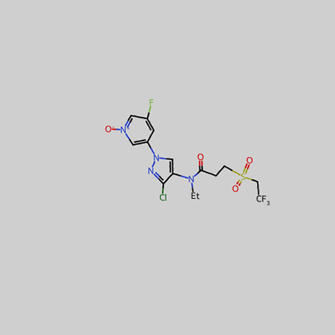 CCN(C(=O)CCS(=O)(=O)CC(F)(F)F)c1cn(-c2cc(F)c[n+]([O-])c2)nc1Cl